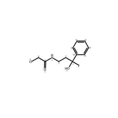 CC(O)(CCNC(=O)CCl)c1ccccc1